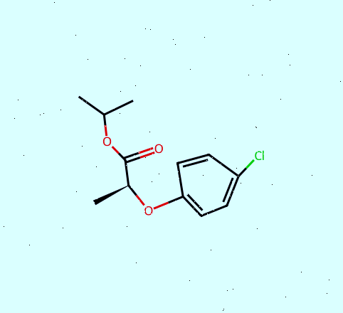 CC(C)OC(=O)[C@H](C)Oc1ccc(Cl)cc1